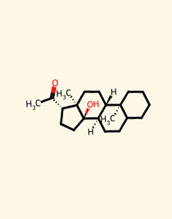 CC(=O)[C@H]1CC[C@@]2(O)[C@@H]3CCC4CCCC[C@]4(C)[C@H]3CC[C@]12C